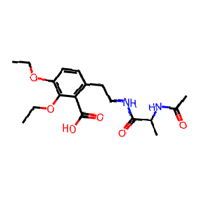 CCOc1ccc(CCNC(=O)C(C)NC(C)=O)c(C(=O)O)c1OCC